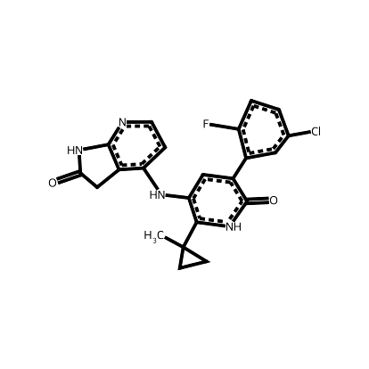 CC1(c2[nH]c(=O)c(-c3cc(Cl)ccc3F)cc2Nc2ccnc3c2CC(=O)N3)CC1